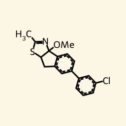 COC12N=C(C)SC1Cc1cc(-c3cccc(Cl)c3)ccc12